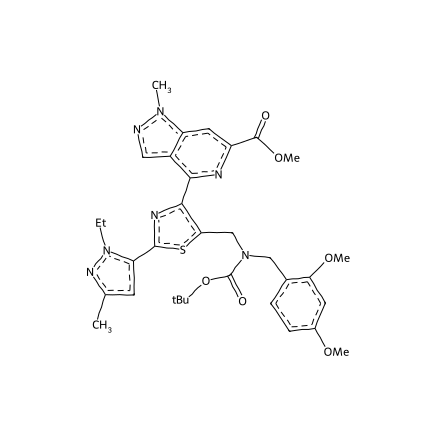 CCn1nc(C)cc1-c1nc(-c2nc(C(=O)OC)cc3c2cnn3C)c(CN(Cc2ccc(OC)cc2OC)C(=O)OC(C)(C)C)s1